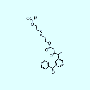 CC(C(=O)CC(=O)OCCSSCCO[N+](=O)[O-])c1cccc(C(=O)c2ccccc2)c1